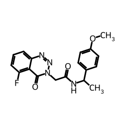 COc1ccc(C(C)NC(=O)Cn2nnc3cccc(F)c3c2=O)cc1